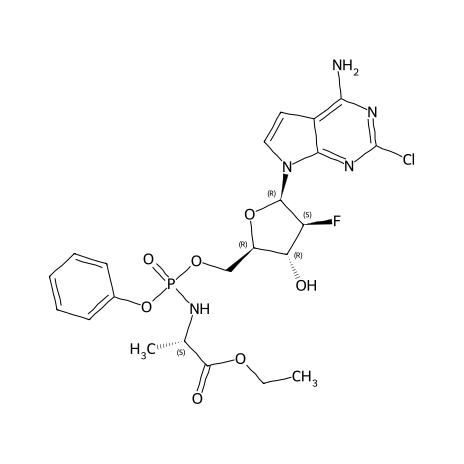 CCOC(=O)[C@H](C)NP(=O)(OC[C@H]1O[C@@H](n2ccc3c(N)nc(Cl)nc32)[C@@H](F)[C@@H]1O)Oc1ccccc1